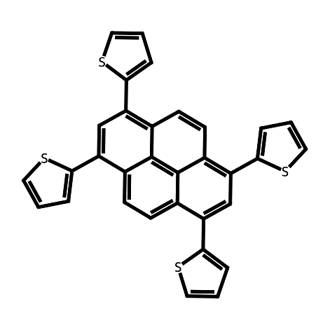 c1csc(-c2cc(-c3cccs3)c3ccc4c(-c5cccs5)cc(-c5cccs5)c5ccc2c3c54)c1